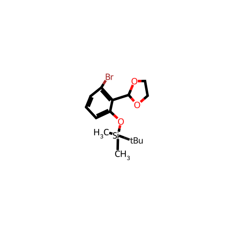 CC(C)(C)[Si](C)(C)Oc1cccc(Br)c1C1OCCO1